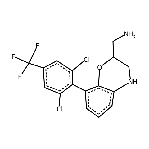 NCC1CNc2cccc(-c3c(Cl)cc(C(F)(F)F)cc3Cl)c2O1